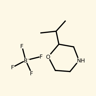 CC(C)C1CNCCO1.F[B-](F)(F)F